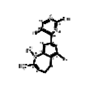 CC1=CCCc2c(F)cc(-c3nc(Cl)ncc3F)cc2N1C(C)C